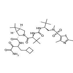 Cc1nc(C)c(S(=O)(=O)N(C)C[C@@H](NC(=O)N[C@H](C(=O)N2C[C@H]3[C@@H]([C@H]2C(=O)NC(CC2CCC2)C(=O)C(N)=O)C3(C)C)C(C)(C)C)C(C)(C)C)s1